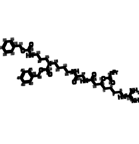 CCCC(=O)OC(CCCCNC(=N)N)CC(=O)NCC(=O)NCCCCN(CCCNC(=O)OCc1ccccc1)C(=O)OCc1ccccc1